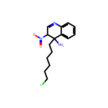 NC1(CCCCCCCl)c2ccccc2N=CC1[N+](=O)[O-]